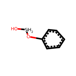 O[SiH2]Oc1ccccc1